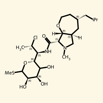 CSC1O[C@H]([C@H](NC(=O)[C@@H]2[C@@H]3OCC[C@H](CC(C)C)C[C@H]3CN2C)[C@H](C)Cl)C(O)[C@@H](O)[C@H]1O